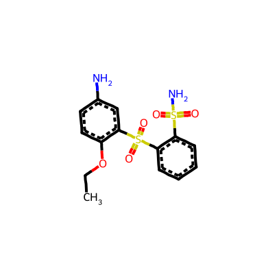 CCOc1ccc(N)cc1S(=O)(=O)c1ccccc1S(N)(=O)=O